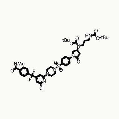 CNC(=O)c1ccc(C(F)(F)c2cc(Cl)nc(N3CCN(S(=O)(=O)c4ccc(N5CC(N(CCCNC(=O)OC(C)(C)C)C(=O)OC(C)(C)C)CC5=O)cc4)CC3)c2)cc1